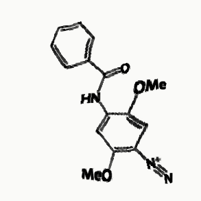 COc1cc(NC(=O)c2ccccc2)c(OC)cc1[N+]#N